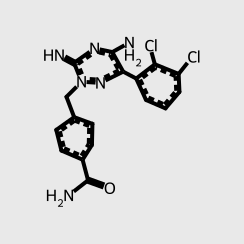 N=c1nc(N)c(-c2cccc(Cl)c2Cl)nn1Cc1ccc(C(N)=O)cc1